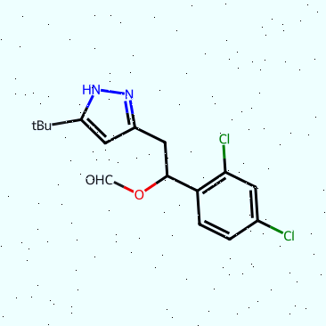 CC(C)(C)c1cc(CC(OC=O)c2ccc(Cl)cc2Cl)n[nH]1